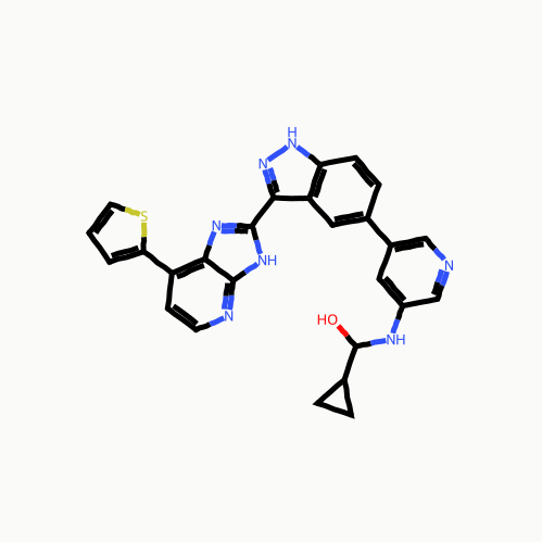 OC(Nc1cncc(-c2ccc3[nH]nc(-c4nc5c(-c6cccs6)ccnc5[nH]4)c3c2)c1)C1CC1